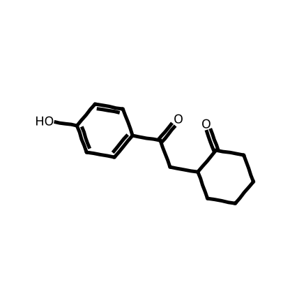 O=C(CC1CCCCC1=O)c1ccc(O)cc1